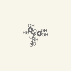 COC(=O)CNC(=O)O[C@@H]1Cc2c(O)cc(O)cc2O[C@@H]1c1ccc(O)c(O)c1